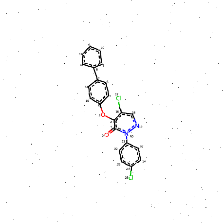 O=c1c(Oc2ccc(-c3ccccc3)cc2)c(Cl)cnn1-c1ccc(Cl)cc1